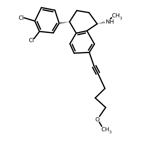 CN[C@H]1CC[C@@H](c2ccc(Cl)c(Cl)c2)c2ccc(C#CCCCOC)cc21